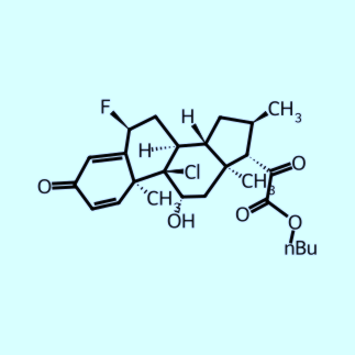 CCCCOC(=O)C(=O)[C@H]1[C@H](C)C[C@H]2[C@@H]3C[C@H](F)C4=CC(=O)C=C[C@]4(C)[C@@]3(Cl)[C@@H](O)C[C@@]21C